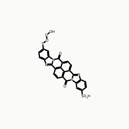 O=c1c2ccc3c4c(ccc(c24)c2nc4ccc(SOOO)cc4n12)c(=O)n1c2cc(S(=O)(=O)O)ccc2nc31